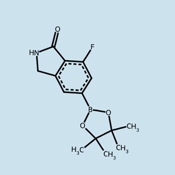 CC1(C)OB(c2cc(F)c3c(c2)CNC3=O)OC1(C)C